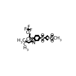 CC(C)(C)Cc1nc2cc(S(=O)(=O)C3CN(S(C)(=O)=O)C3)ccc2n1CCOC(F)(F)F